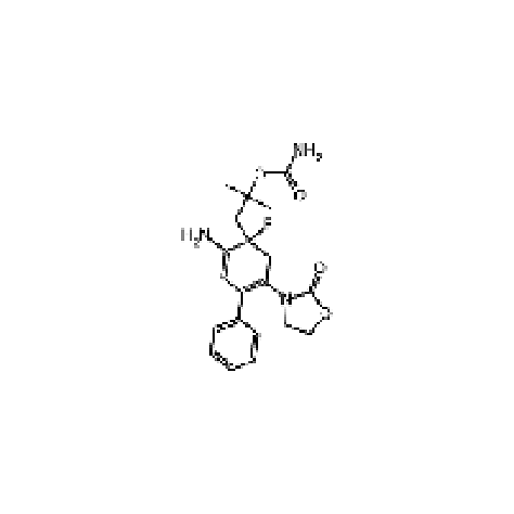 CC(C)(CC1(F)CC(N2CCOC2=O)=C(c2ccccc2)C=C1N)OC(N)=O